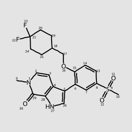 Cn1ccc2c(-c3cc(S(C)(=O)=O)ccc3OCC3CCC(F)(F)CC3)c[nH]c2c1=O